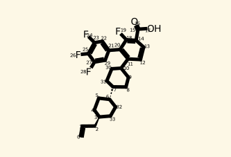 C=CC[C@H]1CC[C@H](C2CCC(c3ccc(C(=O)O)c(F)c3-c3cc(F)c(F)c(F)c3)CC2)CC1